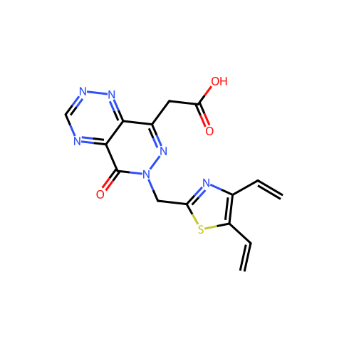 C=Cc1nc(Cn2nc(CC(=O)O)c3nncnc3c2=O)sc1C=C